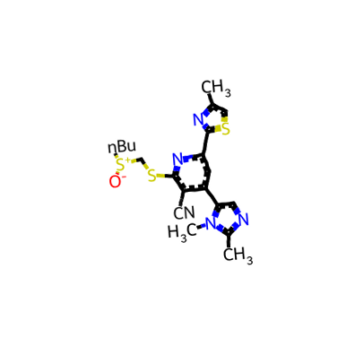 CCCC[S+]([O-])CSc1nc(-c2nc(C)cs2)cc(-c2cnc(C)n2C)c1C#N